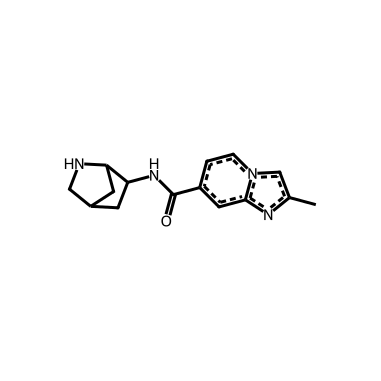 Cc1cn2ccc(C(=O)NC3CC4CNC3C4)cc2n1